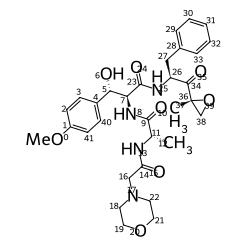 COc1ccc([C@H](O)[C@H](NC(=O)[C@H](C)NC(=O)CN2CCOCC2)C(=O)N[C@@H](Cc2ccccc2)C(=O)[C@@]2(C)CO2)cc1